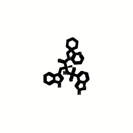 C[C@@](Cc1c[nH]c2ccccc12)(NS(=O)(=O)C1=CC=CN2ONC=C12)C(=O)NCC1(c2ccccn2)CCCCC1